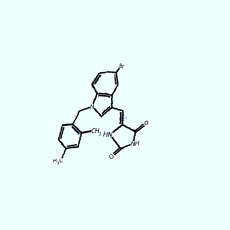 Cc1ccc(Cn2cc(/C=C3\NC(=O)NC3=O)c3cc(Br)ccc32)c(C)c1